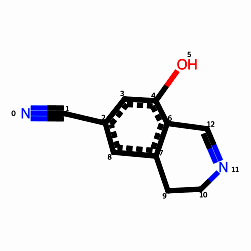 N#Cc1cc(O)c2c(c1)CCN=C2